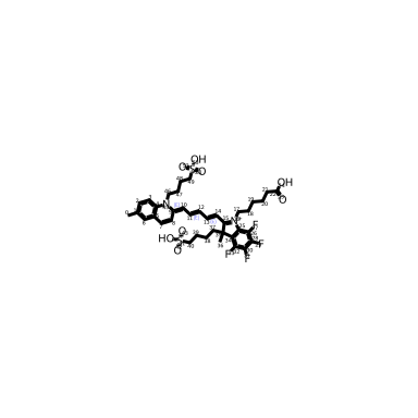 Cc1ccc2c(c1)C=C\C(=C/C=C/C=C/C1=[N+](CCCCCC(=O)O)c3c(F)c(F)c(F)c(F)c3C1(C)CCCCS(=O)(=O)O)N2CCCCS(=O)(=O)O